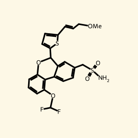 COCC=Cc1ccc(C2Oc3cccc(OC(F)F)c3-c3ccc(CS(N)(=O)=O)cc32)s1